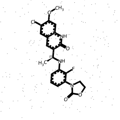 COc1cc2[nH]c(=O)c([C@H](C)Nc3cccc(N4CCOC4=O)c3F)cc2cc1Cl